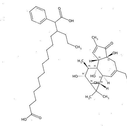 CC1=C[C@H]2[C@]3(O)[C@H](C)[C@@H](O)[C@@]4(O)[C@H]([C@@H]3C=C(CO)C[C@@]2(O)C1=O)C4(C)C.CCCC(CCCCCCCCCCCC(=O)O)C(C(=O)O)c1ccccc1